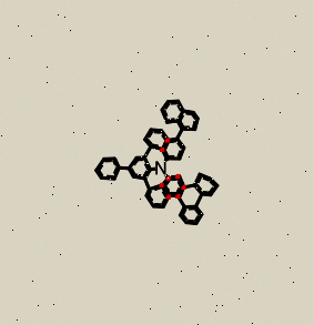 c1ccc(-c2cc(-c3ccccc3)c(N(c3ccc(-c4ccccc4-c4ccccc4-c4ccccc4)cc3)c3ccc(-c4cccc5ccccc45)cc3)c(-c3ccccc3)c2)cc1